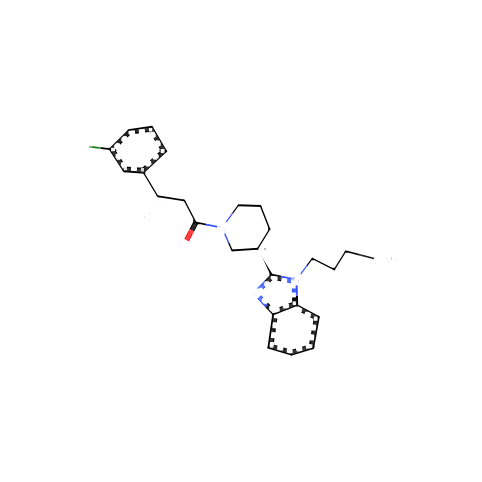 COCCCn1c([C@@H]2CCCN(C(=O)C[C@H](N)c3cccc(Cl)c3)C2)nc2ccccc21